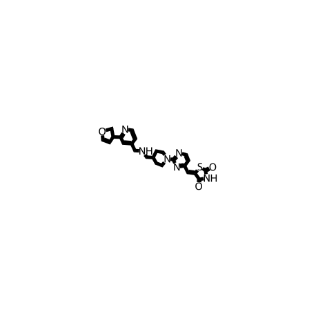 O=C1NC(=O)/C(=C/c2ccnc(N3CCC(CNCc4ccnc(C5C=COC5)c4)CC3)n2)S1